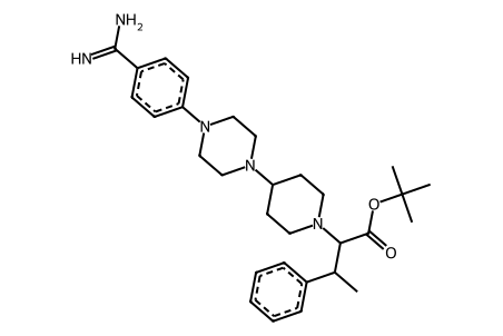 CC(c1ccccc1)C(C(=O)OC(C)(C)C)N1CCC(N2CCN(c3ccc(C(=N)N)cc3)CC2)CC1